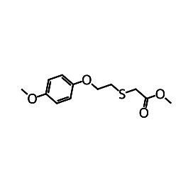 COC(=O)CSCCOc1ccc(OC)cc1